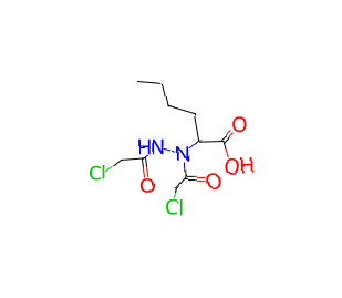 CCCCC(C(=O)O)N(NC(=O)CCl)C(=O)CCl